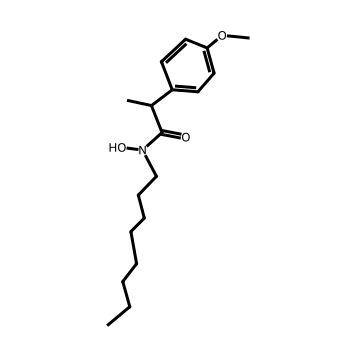 CCCCCCCCN(O)C(=O)C(C)c1ccc(OC)cc1